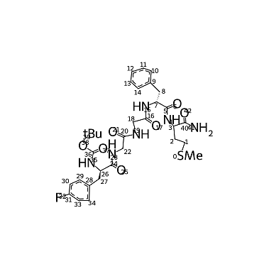 CSCCC(NC(=O)[C@@H](Cc1ccccc1)NC(=O)CNC(=O)CNC(=O)[C@@H](Cc1ccc(F)cc1)NC(=O)OC(C)(C)C)C(N)=O